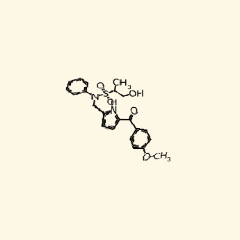 COc1ccc(C(=O)c2ccc(CN(c3ccccc3)S(=O)(=O)C(C)CO)[nH]2)cc1